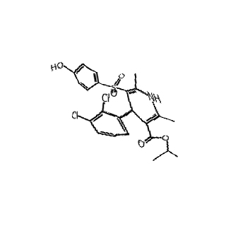 CC1=C(C(=O)OC(C)C)C(c2cccc(Cl)c2Cl)C(S(=O)(=O)c2ccc(O)cc2)=C(C)N1